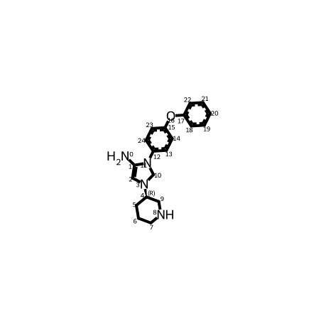 NC1=CN([C@@H]2CCCNC2)CN1c1ccc(Oc2ccccc2)cc1